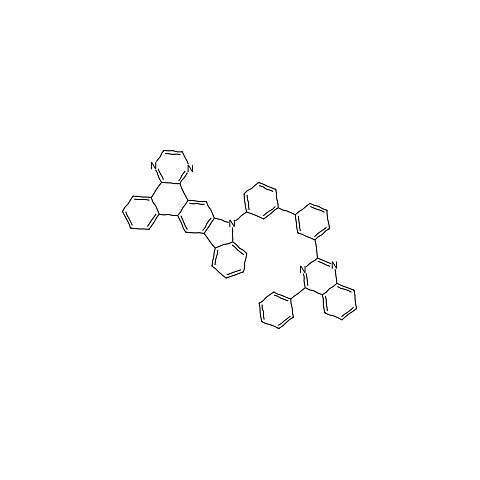 c1ccc(-c2nc(-c3cccc(-c4cccc(-n5c6ccccc6c6cc7c8ccccc8c8nccnc8c7cc65)c4)c3)nc3ccccc23)cc1